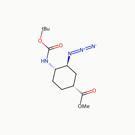 COC(=O)[C@@H]1CC[C@H](NC(=O)OC(C)(C)C)[C@@H](N=[N+]=[N-])C1